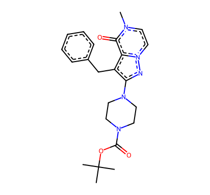 Cn1ccn2nc(N3CCN(C(=O)OC(C)(C)C)CC3)c(Cc3ccccc3)c2c1=O